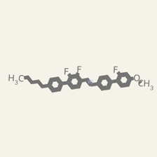 CCCCCc1ccc(-c2ccc(/C=C/c3ccc(-c4ccc(OC)cc4F)cc3)c(F)c2F)cc1